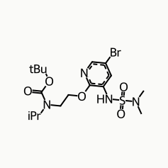 CC(C)N(CCOc1ncc(Br)cc1NS(=O)(=O)N(C)C)C(=O)OC(C)(C)C